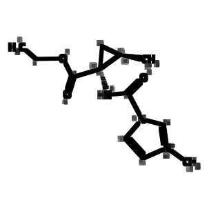 CCOC(=O)[C@@]1(NC(=O)n2cc[n+](C)c2)C[C@H]1C